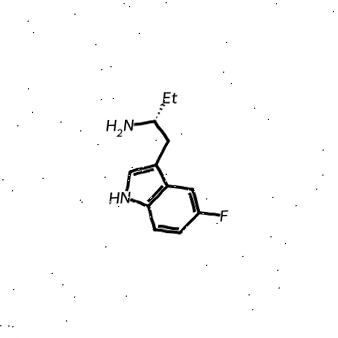 CC[C@@H](N)Cc1c[nH]c2ccc(F)cc12